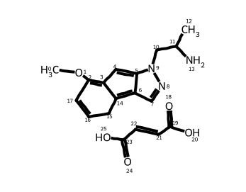 COC1=C2C=c3c(cnn3CC(C)N)=C2CC=C1.O=C(O)/C=C/C(=O)O